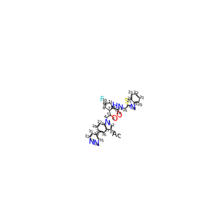 CC(=O)c1cn(CC(=O)C2C[C@H](F)C[C@H]2C(=O)NCc2nc3ccccc3s2)c2ccc(-c3ccnnc3)cc12